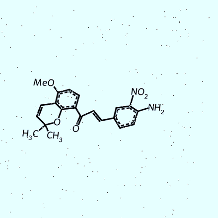 COc1ccc(C(=O)C=Cc2ccc(N)c([N+](=O)[O-])c2)c2c1C=CC(C)(C)O2